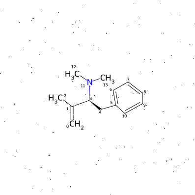 C=C(C)[C@H](Cc1ccccc1)N(C)C